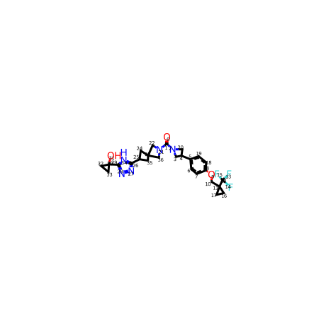 O=C(N1CC(c2ccc(OCC3(C(F)(F)F)CC3)cc2)C1)N1CC2(CC(c3nnc(C4(O)CC4)[nH]3)C2)C1